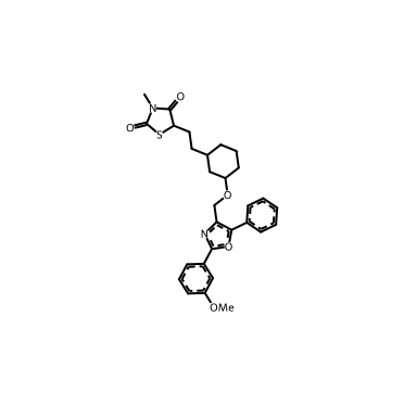 COc1cccc(-c2nc(COC3CCCC(CCC4SC(=O)N(C)C4=O)C3)c(-c3ccccc3)o2)c1